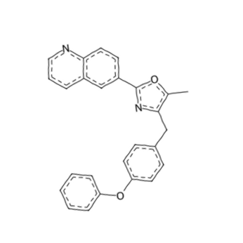 Cc1oc(-c2ccc3ncccc3c2)nc1Cc1ccc(Oc2ccccc2)cc1